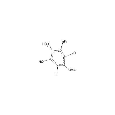 CCCc1c(Cl)c(OC)c(Cl)c(O)c1C(=O)O